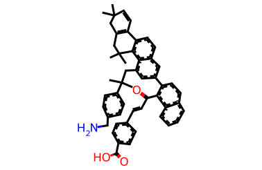 CC1(C)C=CC2=C(C1)CC(C)(C)c1c2ccc2cc(-c3ccc4ccccc4c3C(=O)C=Cc3ccc(C(=O)O)cc3)cc(CC(C)(C)c3ccc(CN)cc3)c12